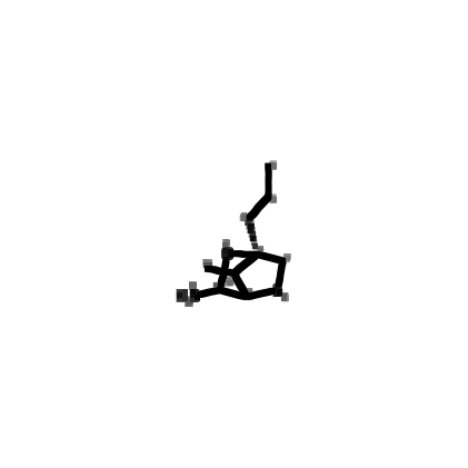 BC1O[C@@]2(CCC)CSC1C2C